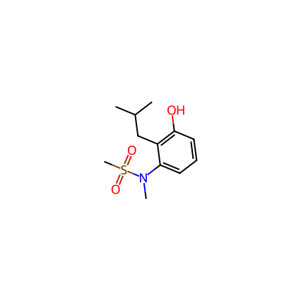 CC(C)Cc1c(O)cccc1N(C)S(C)(=O)=O